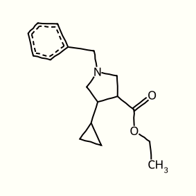 CCOC(=O)C1CN(Cc2ccccc2)CC1C1CC1